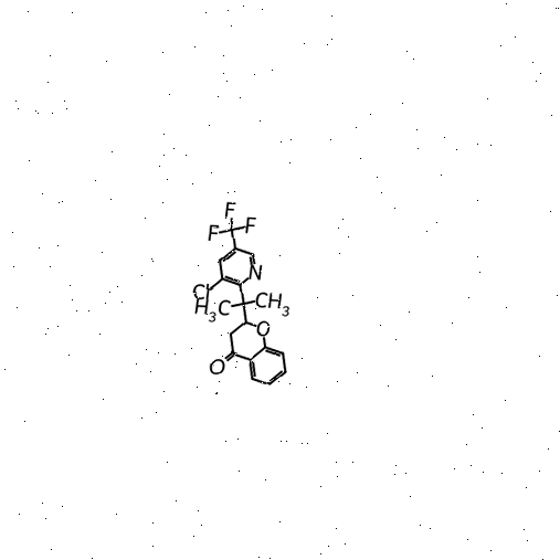 CC(C)(c1ncc(C(F)(F)F)cc1Cl)C1CC(=O)c2ccccc2O1